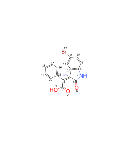 O=C(O)/C(=C1\C(=O)Nc2ccc(Br)cc21)c1ccccc1